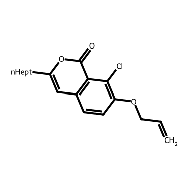 C=CCOc1ccc2cc(CCCCCCC)oc(=O)c2c1Cl